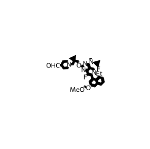 CCc1cccc2cc(OCOC)cc(-c3ncc4c(N(C)[C@@H]5C[C@H]5F)nc(OCC5(CN6CCC(C=O)CC6)CC5)nc4c3F)c12